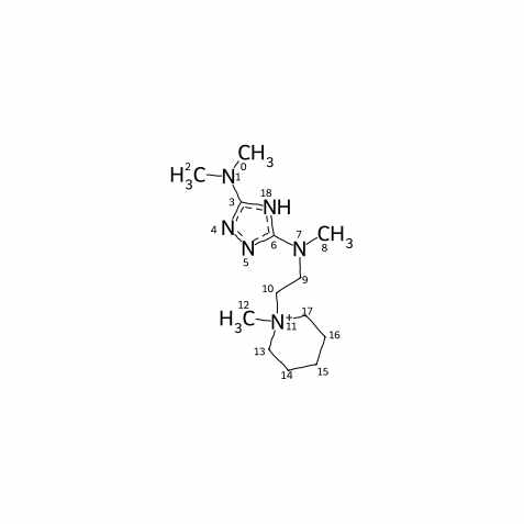 CN(C)c1nnc(N(C)CC[N+]2(C)CCCCC2)[nH]1